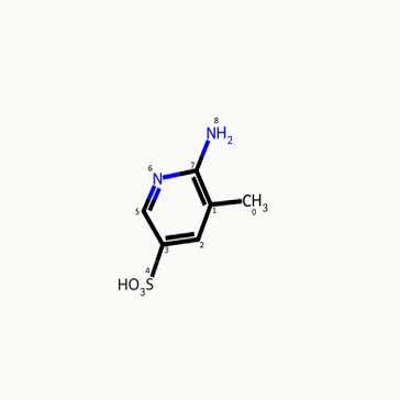 Cc1cc(S(=O)(=O)O)cnc1N